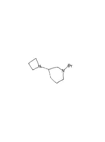 CC(C)N1CCCC(N2CCC2)C1